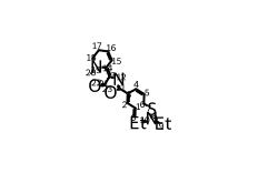 C=C/C=C(\C=C/CSN(CC)CC)C1=N/C(=C2\C=CCCN2C)C(=O)O1